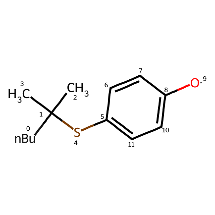 CCCCC(C)(C)Sc1ccc([O])cc1